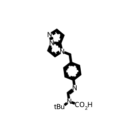 CC(C)(C)N(C=Nc1ccc(Cn2ccn3nccc23)cc1)C(=O)O